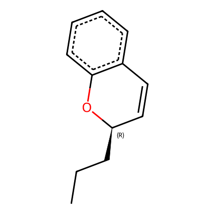 CCC[C@@H]1C=Cc2ccccc2O1